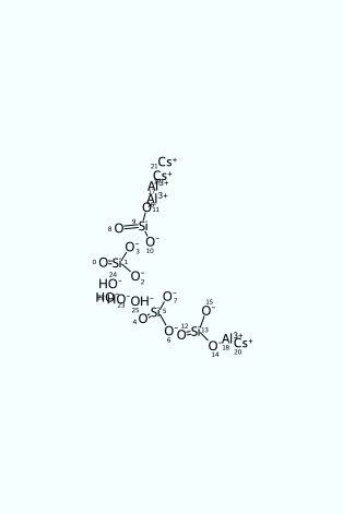 O=[Si]([O-])[O-].O=[Si]([O-])[O-].O=[Si]([O-])[O-].O=[Si]([O-])[O-].[Al+3].[Al+3].[Al+3].[Cs+].[Cs+].[Cs+].[OH-].[OH-].[OH-].[OH-]